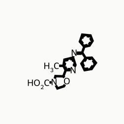 Cc1cc(N=C(c2ccccc2)c2ccccc2)cnc1C1CN(C(=O)O)CCO1